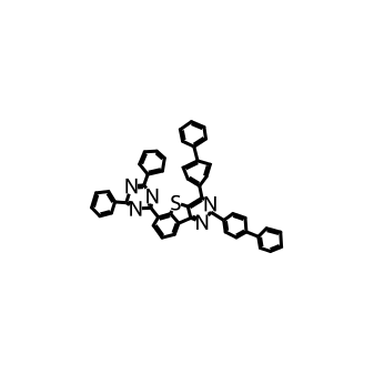 c1ccc(-c2ccc(-c3nc(-c4ccc(-c5ccccc5)cc4)c4sc5c(-c6nc(-c7ccccc7)nc(-c7ccccc7)n6)cccc5c4n3)cc2)cc1